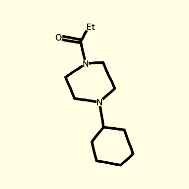 CCC(=O)N1CCN(C2CCCCC2)CC1